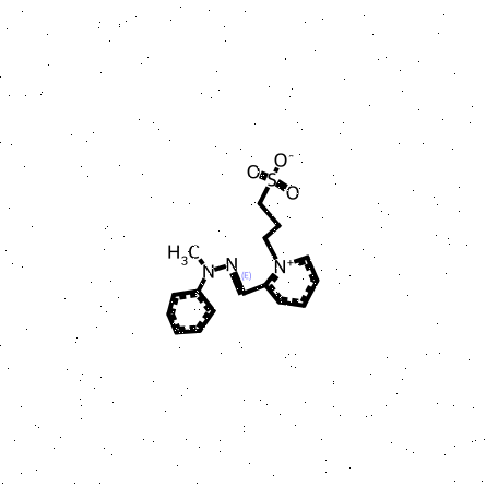 CN(/N=C/c1cccc[n+]1CCCS(=O)(=O)[O-])c1ccccc1